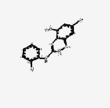 COc1cc(Br)cc2c1N=C(Nc1ccccc1Cl)NS2